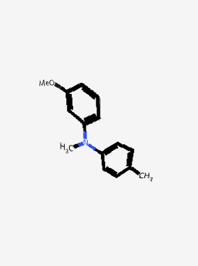 COc1cccc(N(C)c2ccc(C)cc2)c1